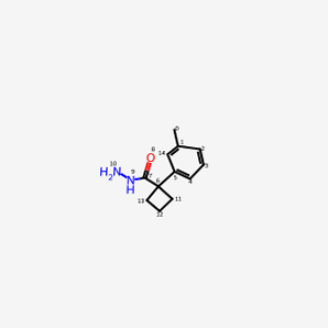 Cc1cccc(C2(C(=O)NN)CCC2)c1